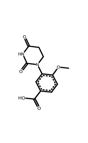 COc1ccc(C(=O)O)cc1N1CCC(=O)NC1=O